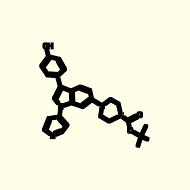 CC(C)(C)OC(=O)N1CCN(c2ccc3c(-c4ccc(O)cc4)cn(-c4ccncc4)c3c2)CC1